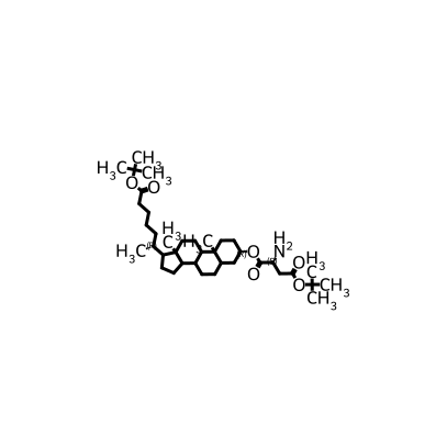 C[C@H](CCCCC(=O)OC(C)(C)C)C1CCC2C3CCC4C[C@H](OC(=O)[C@@H](N)CC(=O)OC(C)(C)C)CCC4(C)C3CCC21C